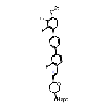 CCCCCCCC1CCC(/C=C/c2ccc(-c3ccc(-c4ccc(OCC)c(F)c4F)cc3)cc2F)OC1